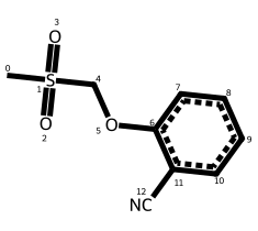 CS(=O)(=O)COc1ccccc1C#N